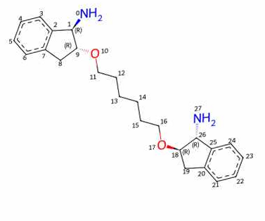 N[C@@H]1c2ccccc2C[C@H]1OCCCCCCO[C@@H]1Cc2ccccc2[C@H]1N